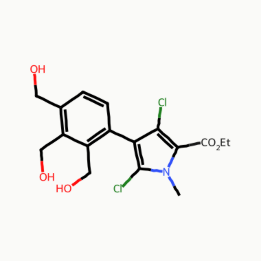 CCOC(=O)c1c(Cl)c(-c2ccc(CO)c(CO)c2CO)c(Cl)n1C